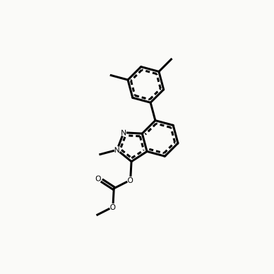 COC(=O)Oc1c2cccc(-c3cc(C)cc(C)c3)c2nn1C